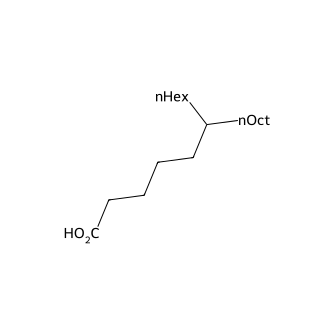 CCCCCCCCC(CCCCCC)CCCCC(=O)O